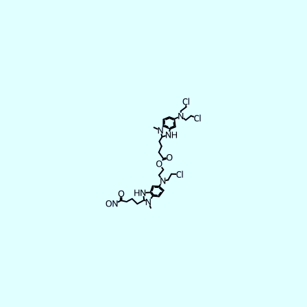 CN1c2ccc(N(CCCl)CCOC(=O)CCCC3Nc4cc(N(CCCl)CCCl)ccc4N3C)cc2NC1CCCC(=O)N=O